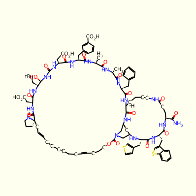 CC(=O)N1CCC[C@]12C/C=C\CCCCCC/C=C/CCCOC(=O)N1CC3CC(C1)N[C@@H](Cc1ccsc1)C(=O)N[C@@H](Cc1csc4ccccc14)C(=O)N[C@H](C(N)=O)CCC(=O)NCCCC[C@H](NC(=O)[C@H](Cc1ccccc1)NC(=O)[C@H](C)NC(=O)[C@H](C)NC(=O)[C@H](Cc1cccc(C(=O)O)c1)NC(=O)[C@H](CC(=O)O)NC(=O)NC(O)[C@H](CC(C)(C)C)NC(=O)[C@H](CC(=O)O)NC2=O)C(=O)N3